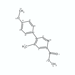 COC(=O)c1cc(C)c(-c2ccc(OC)cc2)cn1